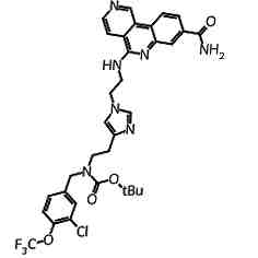 CC(C)(C)OC(=O)N(CCc1cn(CCNc2nc3cc(C(N)=O)ccc3c3cnccc23)cn1)Cc1ccc(OC(F)(F)F)c(Cl)c1